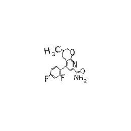 C[C@H]1COc2nc(C(N)=O)cc(-c3ccc(F)cc3F)c2C1